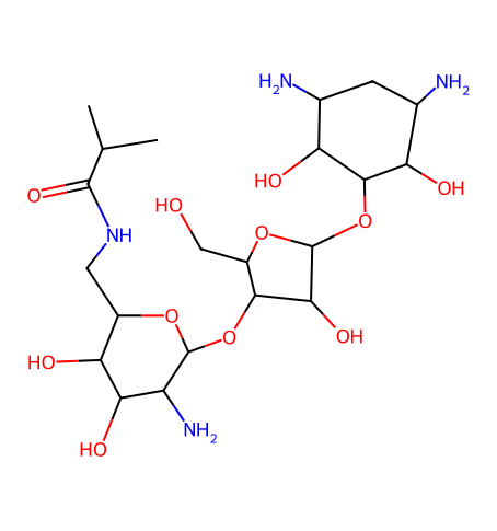 CC(C)C(=O)NCC1OC(OC2C(CO)OC(OC3C(O)C(N)CC(N)C3O)C2O)C(N)C(O)C1O